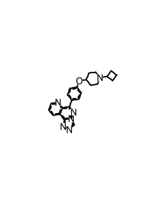 c1cnc2c(-c3ccc(OC4CCN(C5CCC5)CC4)cc3)nn3cnnc3c2c1